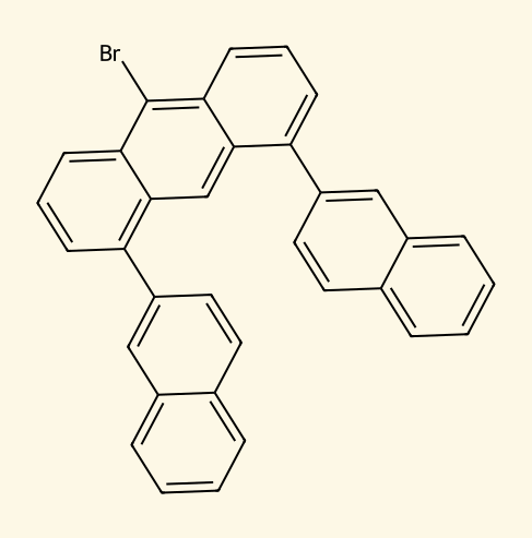 Brc1c2cccc(-c3ccc4ccccc4c3)c2cc2c(-c3ccc4ccccc4c3)cccc12